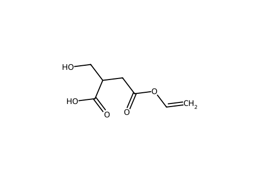 C=COC(=O)CC(CO)C(=O)O